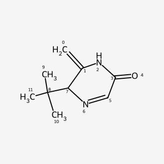 C=C1NC(=O)C=NC1C(C)(C)C